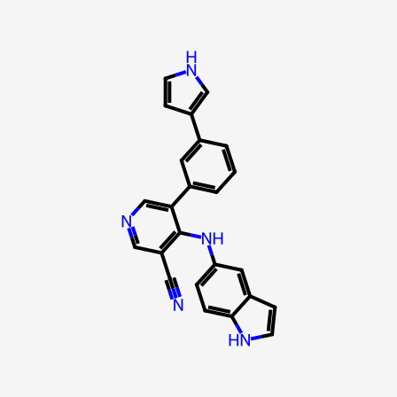 N#Cc1cncc(-c2cccc(-c3cc[nH]c3)c2)c1Nc1ccc2[nH]ccc2c1